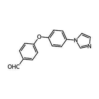 O=Cc1ccc(Oc2ccc(-n3ccnc3)cc2)cc1